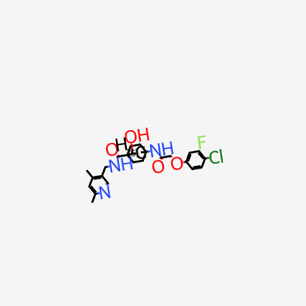 Cc1cc(C)c(CNC(=O)C23CCC(NC(=O)COc4ccc(Cl)c(F)c4)(CC2)C[C@@H]3O)cn1